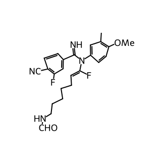 COc1ccc(N(C(=N)c2ccc(C#N)c(F)c2)/C(F)=C/CCCCCNC=O)cc1C